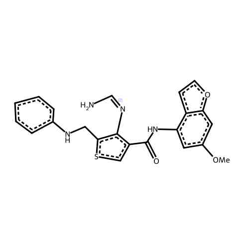 COc1cc(NC(=O)c2csc(CNc3ccccc3)c2/N=C\N)c2ccoc2c1